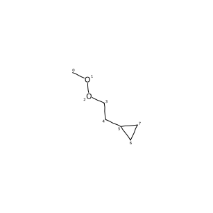 COOCCC1CC1